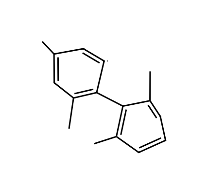 Cc1c[c]c(-c2c(C)cccc2C)c(C)c1